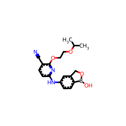 CC(C)OCCOc1nc(Nc2ccc3c(c2)COB3O)ccc1C#N